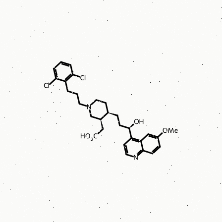 COc1ccc2nccc([C@H](O)CC[C@@H]3CCN(CCCc4c(Cl)cccc4Cl)C[C@@H]3CC(=O)O)c2c1